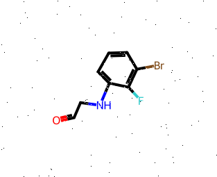 O=CCNc1cccc(Br)c1F